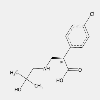 CC(C)(O)CNC[C@H](C(=O)O)c1ccc(Cl)cc1